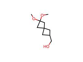 COC1(OC)CC2(CC(CO)C2)C1